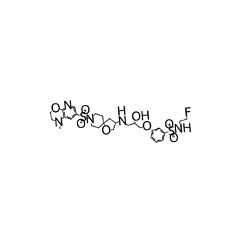 CN1CCOc2ncc(S(=O)(=O)N3CCC4(CC3)CC(NCC(O)COc3cccc(S(=O)(=O)NCCF)c3)CO4)cc21